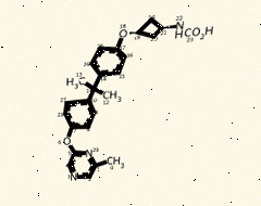 Cc1cncc(Oc2ccc(C(C)(C)c3ccc(O[C@H]4C[C@H](NC(=O)O)C4)cc3)cc2)n1